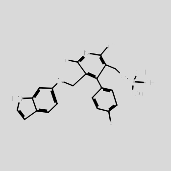 CC(C)c1nc(C(C)C)c(CO[Si](C)(C)C(C)(C)C)c(-c2ccc(F)cc2)c1CNc1ccc2cc[nH]c2c1